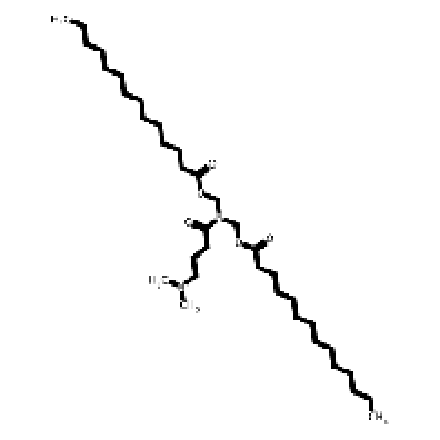 CCCCCCCCCCCCCC(=O)OCN(COC(=O)CCCCCCCCCCCCC)C(=O)CCCN(C)C